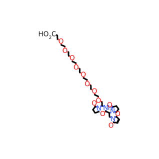 O=C(O)CCOCCOCCOCCOCCOCCOCCOCCOCC(NC(=O)C(CN1C(=O)C=CC1=O)N1CCCC1=O)N1CCCC1=O